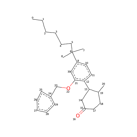 CCCCCCC(C)(C)c1ccc(C2CC(=O)CCC2C)c(OCc2ccccc2)c1